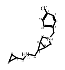 Clc1ccc(CN2CC3C(CNCC4CC4)C3C2)cc1